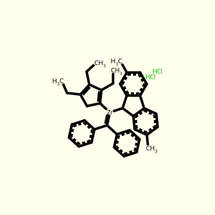 CCC1=C(CC)C(CC)=[C]([Zr](=[C](c2ccccc2)c2ccccc2)[CH]2c3cc(C)ccc3-c3ccc(C)cc32)C1.Cl.Cl